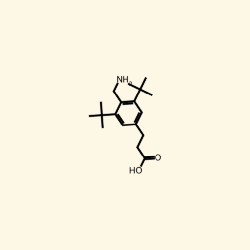 CC(C)(C)c1cc(CCC(=O)O)cc(C(C)(C)C)c1CN